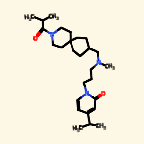 CC(C)C(=O)N1CCC2(CCC(CN(C)CCCn3ccc(C(C)C)cc3=O)CC2)CC1